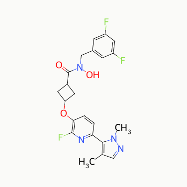 Cc1cnn(C)c1-c1ccc(OC2CC(C(=O)N(O)Cc3cc(F)cc(F)c3)C2)c(F)n1